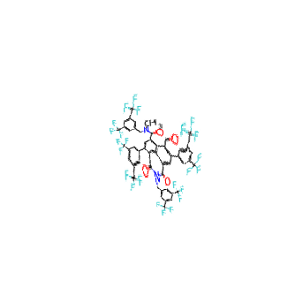 CN(Cc1cc(C(F)(F)F)cc(C(F)(F)F)c1)C(=O)c1cc(-c2cc(C(F)(F)F)cc(C(F)(F)F)c2)c2c3c(cc(-c4cc(C(F)(F)F)cc(C(F)(F)F)c4)c(C=O)c13)C(=O)N(Cc1cc(C(F)(F)F)cc(C(F)(F)F)c1)C2=O